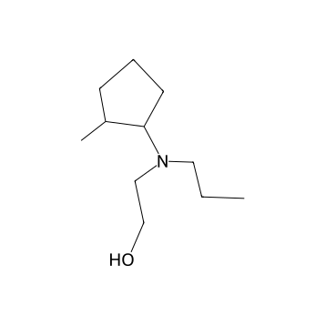 CCCN(CCO)C1CCCC1C